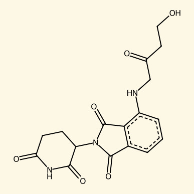 O=C(CCO)CNc1cccc2c1C(=O)N(C1CCC(=O)NC1=O)C2=O